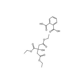 CCOC(=O)CC(O)(CC(=O)OCC)C(=O)OCC.O=C(O)c1ccccc1C(=O)O